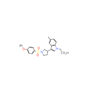 Cc1ccc2c(c1)c(C1CCN(S(=O)(=O)c3ccc(OC(C)C)cc3)C1)cn2CC(=O)O